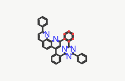 c1ccc(-c2ccc3ccc4c(-c5ccccc5-c5nc(-c6ccccc6)nc(-c6ccccc6)n5)cc(-c5ccccc5)nc4c3n2)cc1